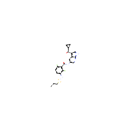 CCCS(=O)(=O)Nc1ccc(F)c(C(=O)Nc2cnc3[nH]cc(C(=O)C4CC4)c3c2)c1F